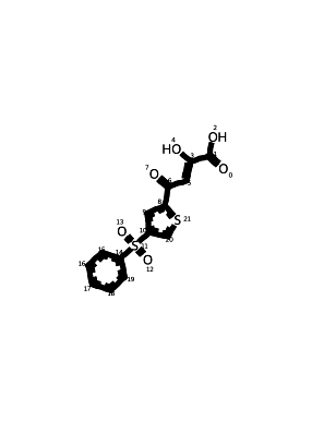 O=C(O)C(O)=CC(=O)c1cc(S(=O)(=O)c2ccccc2)cs1